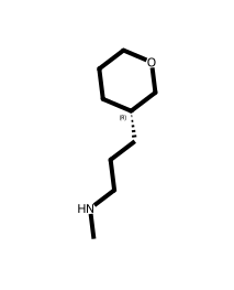 CNCCC[C@@H]1CCCOC1